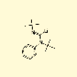 [Li][C](=NC(C)(C)C)N(c1ccccc1)C(C)(C)C